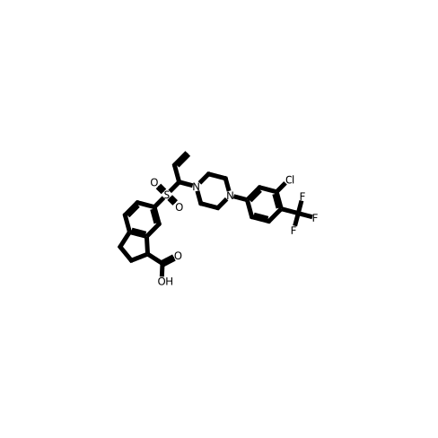 C=CC(N1CCN(c2ccc(C(F)(F)F)c(Cl)c2)CC1)S(=O)(=O)c1ccc2c(c1)C(C(=O)O)CC2